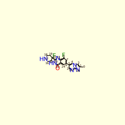 Cc1cn2cc(-c3cc(F)c4nc(C5(F)CCNCC5)[nH]c(=O)c4c3)cnc2n1